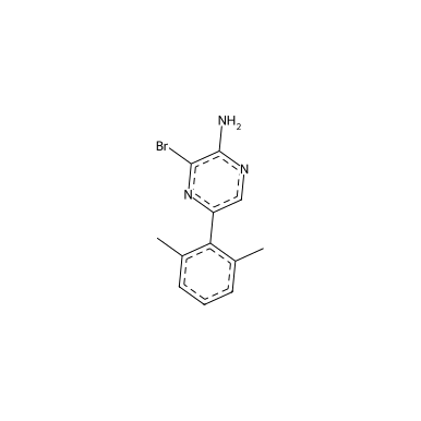 Cc1cccc(C)c1-c1cnc(N)c(Br)n1